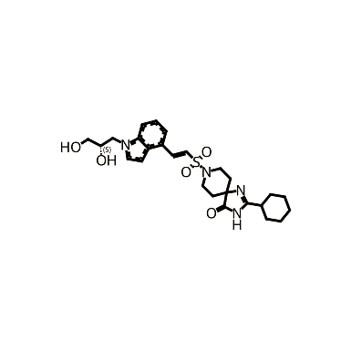 O=C1NC(C2CCCCC2)=NC12CCN(S(=O)(=O)C=Cc1cccc3c1ccn3C[C@H](O)CO)CC2